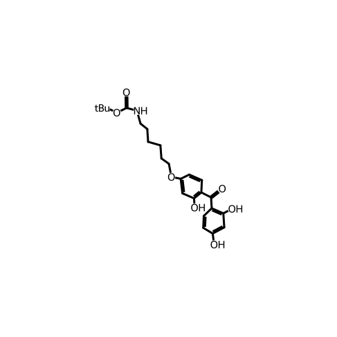 CC(C)(C)OC(=O)NCCCCCCOc1ccc(C(=O)c2ccc(O)cc2O)c(O)c1